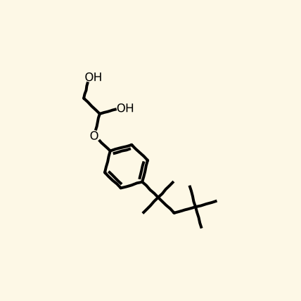 CC(C)(C)CC(C)(C)c1ccc(OC(O)CO)cc1